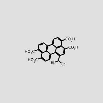 CCC(CC)c1cc(C(=O)O)c2c(C(=O)O)ccc3c4ccc(C(=O)O)c5c(C(=O)O)ccc(c1c23)c54